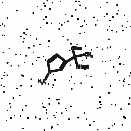 CCCCCCCC(C)(CCCCCC)c1ccn(C)c1